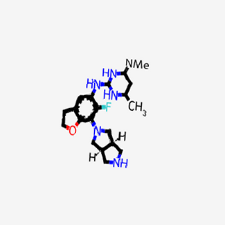 CNC1CC(C)NC(Nc2cc3c(c(N4C[C@H]5CNC[C@H]5C4)c2F)OCC3)N1